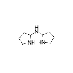 C1CNC(NC2CCCN2)C1